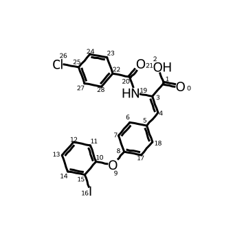 O=C(O)/C(=C/c1ccc(Oc2ccccc2I)cc1)NC(=O)c1ccc(Cl)cc1